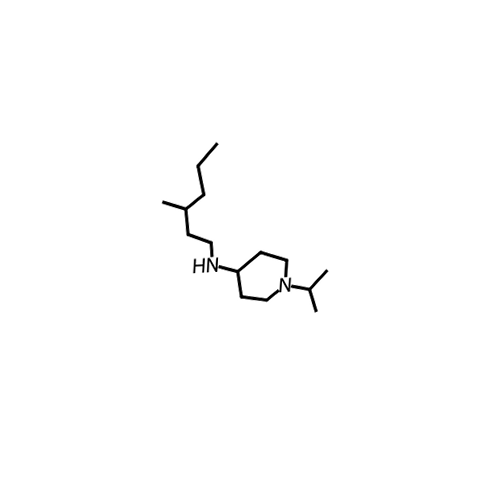 CCCC(C)CCNC1CCN(C(C)C)CC1